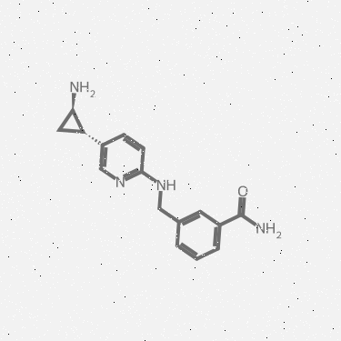 NC(=O)c1cccc(CNc2ccc([C@@H]3C[C@H]3N)cn2)c1